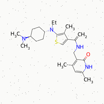 C=C(NCc1c(C)cc(C)[nH]c1=O)c1csc(N(CC)[C@H]2CC[C@H](N(C)C)CC2)c1C